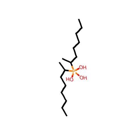 CCCCCCC(C)P(O)(O)(O)C(C)CCCCCC